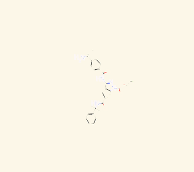 CC(C)C(N)c1ccc(C(=O)Nc2nn(C(=O)OCCF)c3sc(C(=O)NC(C)(C)c4ccccc4)cc23)cc1